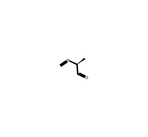 C=N[C@@H](C)C=O